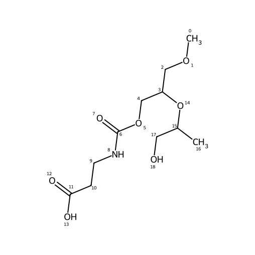 COCC(COC(=O)NCCC(=O)O)OC(C)CO